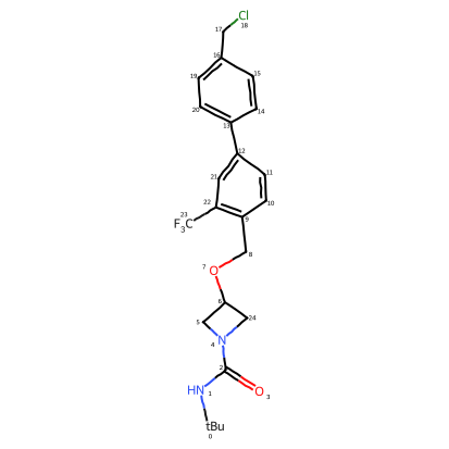 CC(C)(C)NC(=O)N1CC(OCc2ccc(-c3ccc(CCl)cc3)cc2C(F)(F)F)C1